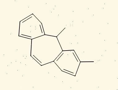 OC1c2ccccc2C=Cc2ccc(Br)cc21